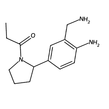 CCC(=O)N1CCCC1c1ccc(N)c(CN)c1